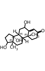 C[C@]12CCC(=O)C=C1C(O)C[C@@H]1[C@H]2CC[C@]2(C)C(O)CC[C@@]12O